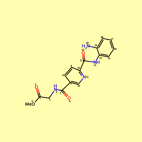 COC(=O)CNC(=O)c1ccc(C(=O)Nc2ccccc2N)nc1